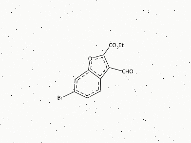 CCOC(=O)c1oc2cc(Br)ccc2c1C=O